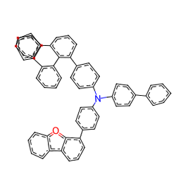 c1ccc(-c2ccc(N(c3ccc(-c4cccc(-c5ccccc5)c4-c4ccccc4-c4ccccc4)cc3)c3ccc(-c4cccc5c4oc4ccccc45)cc3)cc2)cc1